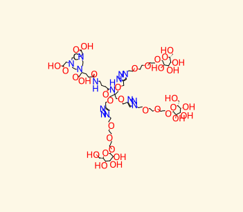 O=C(O)CN1CCN(CC(=O)O)CCN(C(CCC(=O)NCCCC(=O)NC(COCc2cn(CCOCCOCCO[C@@H]3O[C@H](CO)[C@H](O)[C@H](O)[C@H]3O)nn2)(COCc2cn(CCOCCOCCO[C@@H]3O[C@H](CO)[C@H](O)[C@H](O)[C@H]3O)nn2)COCc2cn(CCOCCOCCO[C@@H]3O[C@H](CO)[C@H](O)[C@H](O)[C@H]3O)nn2)C(=O)O)CC1